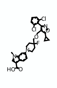 Cn1cc(C(=O)O)c2ccc(N3CCC(F)(COCc4c(-c5c(Cl)cccc5Cl)noc4C4CC4)CC3)cc21